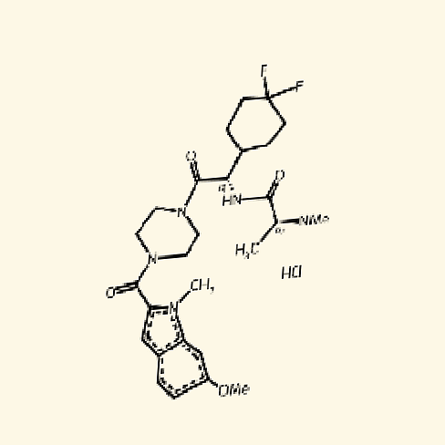 CN[C@@H](C)C(=O)N[C@H](C(=O)N1CCN(C(=O)c2cc3ccc(OC)cc3n2C)CC1)C1CCC(F)(F)CC1.Cl